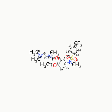 CC(OC1CCC(N(C)S(=O)(=O)c2ccc(C(F)(F)F)cc2)CC1)C(=O)N(C)CCN(C)C